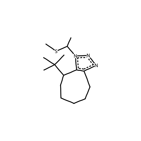 CSC(C)n1nnc2c1C(C(C)(C)C)CCCCC2